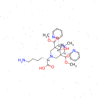 COC(=O)C12CN([C@@H](CCCCN)C(=O)O)CC(C(=O)OC)([C@H]1O)[C@@H](c1ccccn1)N(C)[C@H]2c1ccccn1